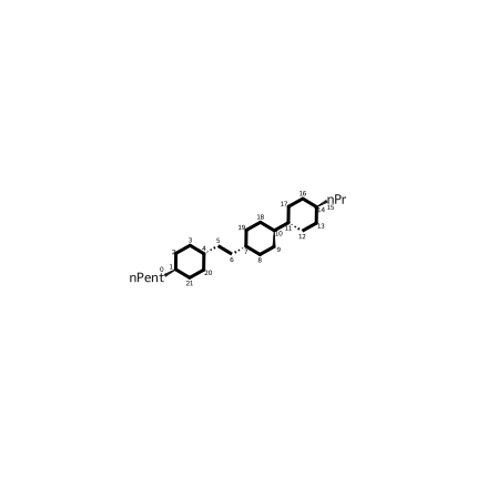 CCCCC[C@H]1CC[C@H](CC[C@H]2CC[C@H]([C@H]3CC[C@H](CCC)CC3)CC2)CC1